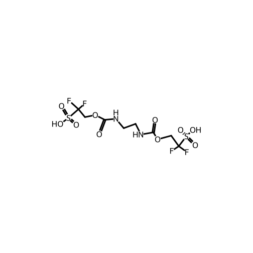 O=C(NCCNC(=O)OCC(F)(F)S(=O)(=O)O)OCC(F)(F)S(=O)(=O)O